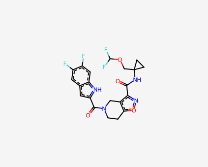 O=C(NC1(COC(F)F)CC1)c1noc2c1CN(C(=O)c1cc3cc(F)c(F)cc3[nH]1)CC2